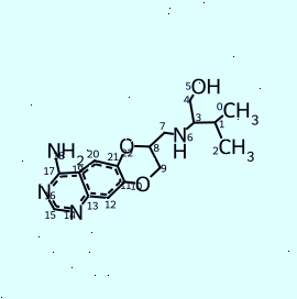 CC(C)C(CO)NCC1COc2cc3ncnc(N)c3cc2O1